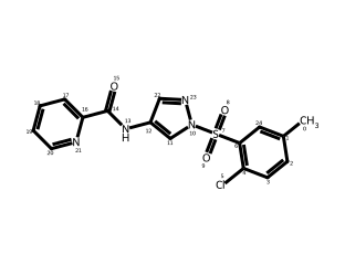 Cc1ccc(Cl)c(S(=O)(=O)n2cc(NC(=O)c3ccccn3)cn2)c1